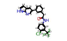 O=C(Cc1cccc(-c2cnc3[nH]ccc3c2)c1)Nc1ccc(Cl)c(C(F)(F)F)c1